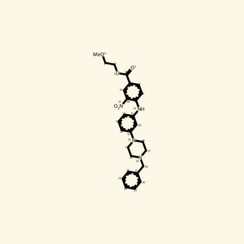 COCCOC(=O)c1ccc(Nc2cccc(N3CCN(Cc4ccccc4)CC3)c2)c([N+](=O)[O-])c1